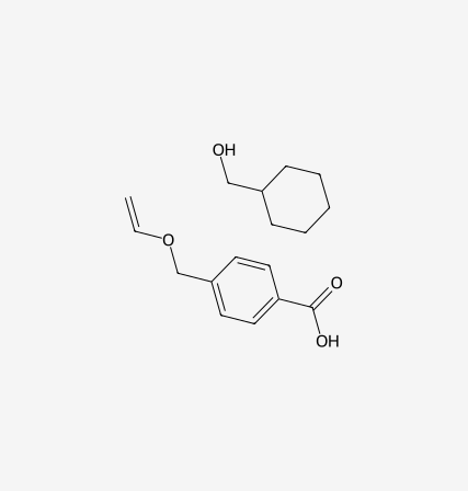 C=COCc1ccc(C(=O)O)cc1.OCC1CCCCC1